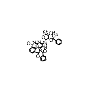 CC[C@H]1O[C@@H](n2cnc3c(N(C(=O)c4ccccc4)C(=O)c4ccccc4)nc([N+](=O)[O-])nc32)[C@H](OC(=O)c2ccccc2)[C@@H]1C